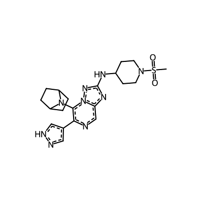 CS(=O)(=O)N1CCC(Nc2nc3cnc(-c4cn[nH]c4)c(N4C5CCC4CC5)n3n2)CC1